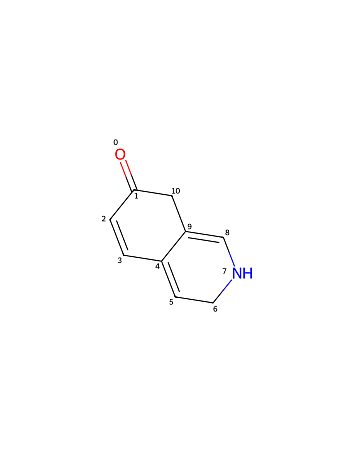 O=C1C=CC2=CCNC=C2C1